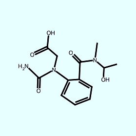 CC(O)N(C)C(=O)c1ccccc1N(CC(=O)O)C(N)=O